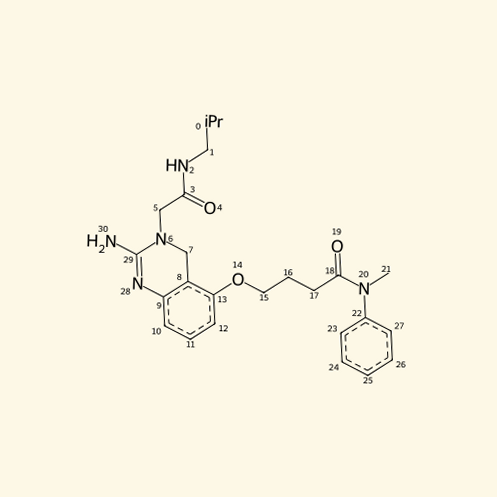 CC(C)CNC(=O)CN1Cc2c(cccc2OCCCC(=O)N(C)c2ccccc2)N=C1N